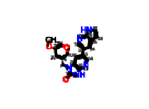 CO[C@@H]1COC[C@H](Cn2c(=O)[nH]c3ncc(-c4cnc5[nH]ccc5c4)cc32)C1